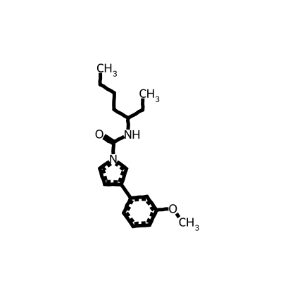 CCCCC(CC)NC(=O)n1ccc(-c2cccc(OC)c2)c1